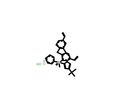 C=Cc1ccc2c(c1)-c1cc(C=C)c[c]([Zr](=[CH2])([CH3])([C]3=CC(C(C)(C)C)=CC3)[c]3ccccc3)c1C2.Cl.Cl